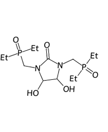 CCP(=O)(CC)CN1C(=O)N(CP(=O)(CC)CC)C(O)C1O